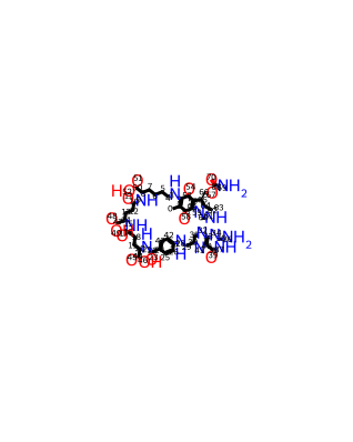 CC1=C(NCCCCC(NC(=O)CCC(NC(=O)CCC(NC(=O)c2ccc(NCc3cnc4nc(N)[nH]c(=O)c4n3)cc2)C(=O)O)C(=O)O)C(=O)O)C(=O)C2=C(C1=O)N1CN[C@@H](C)C1[C@@H]2COC(N)=O